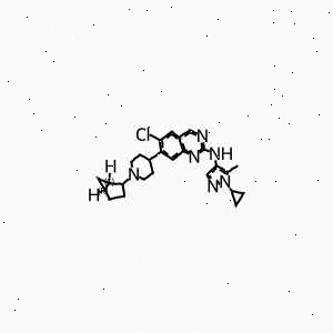 Cc1c(Nc2ncc3cc(Cl)c(C4CCN(C5CC[C@@H]6C[C@H]56)CC4)cc3n2)cnn1C1CC1